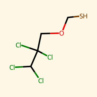 SCOCC(Cl)(Cl)C(Cl)Cl